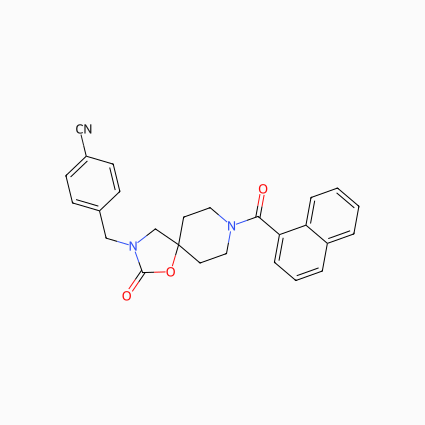 N#Cc1ccc(CN2CC3(CCN(C(=O)c4cccc5ccccc45)CC3)OC2=O)cc1